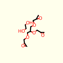 C(OCC1CO1)C(COCC1CO1)OCC1CO1.OCCO